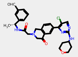 C[C@@H](NC(=O)CN1CC(=O)c2cc(-c3nc(NC4CCOCC4)ncc3Cl)ccc2C1)c1cccc(C=O)c1